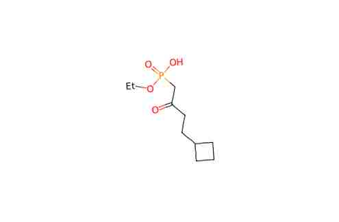 CCOP(=O)(O)CC(=O)CCC1CCC1